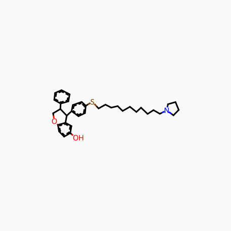 Oc1ccc2c(c1)C(c1ccc(SCCCCCCCCCCCN3CCCC3)cc1)C(c1ccccc1)CO2